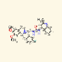 COc1cc2c(cc1OC)C(Cc1ccc(F)cc1)N(CCNC(=O)Nc1cc(C)nc3ccccc13)CC2